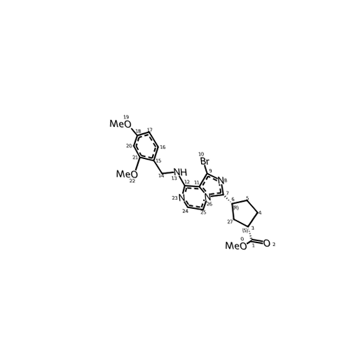 COC(=O)[C@H]1CC[C@@H](c2nc(Br)c3c(NCc4ccc(OC)cc4OC)nccn23)C1